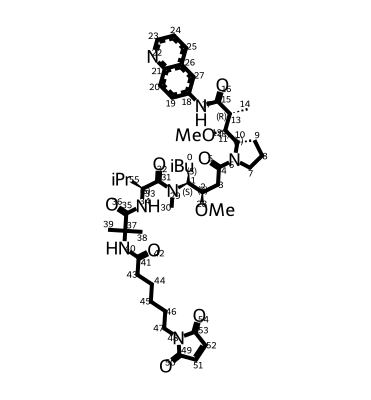 CC[C@H](C)[C@@H]([C@@H](CC(=O)N1CCC[C@H]1[C@H](OC)[C@@H](C)C(=O)Nc1ccc2ncccc2c1)OC)N(C)C(=O)[C@@H](NC(=O)C(C)(C)NC(=O)CCCCCN1C(=O)C=CC1=O)C(C)C